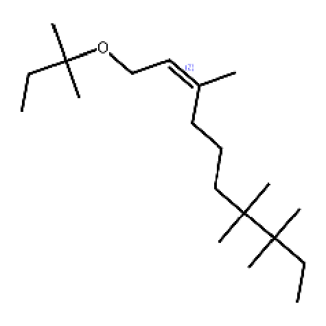 CCC(C)(C)OC/C=C(/C)CCCC(C)(C)C(C)(C)CC